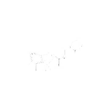 Cc1cc(C)c(S(=O)(=O)OC(C)C(=O)OC[C@@H]2CCCO2)c(C)c1